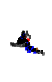 COc1cc2c(cc1OC)[C@]1(CC[C@@H](C(=O)N3CCN(c4ncnc5c4cnn5Cc4csc(C)n4)CC3)CC1)N(C(=O)CN(C)C)CC2